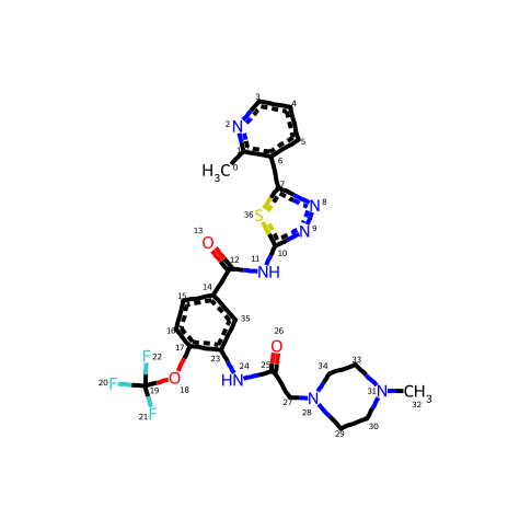 Cc1ncccc1-c1nnc(NC(=O)c2ccc(OC(F)(F)F)c(NC(=O)CN3CCN(C)CC3)c2)s1